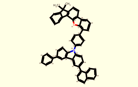 CC1(C)c2ccccc2-c2c1ccc1c2oc2c(-c3ccc(-n4c5ccc(-c6ccccc6)cc5c5cc(-c6cccc7ccccc67)ccc54)cc3)cccc21